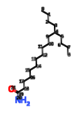 CCCCC(CCCC)CCCCCCCCCCC(N)=O